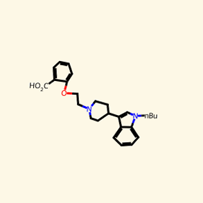 CCCCn1cc(C2CCN(CCOc3ccccc3C(=O)O)CC2)c2ccccc21